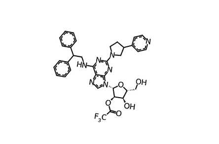 O=C(O[C@@H]1[C@H](O)[C@@H](CO)O[C@H]1n1cnc2c(NCC(c3ccccc3)c3ccccc3)nc(N3CCC(c4ccncc4)C3)nc21)C(F)(F)F